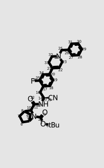 CC(C)(C)OC(=O)N1C2CCC(C2)C1C(=O)N[C@H](C#N)Cc1ccc(C2=CCN(Cc3ccccc3)CC2)cc1F